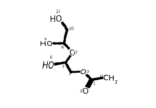 CC(=O)OCC(O)OC(O)CO